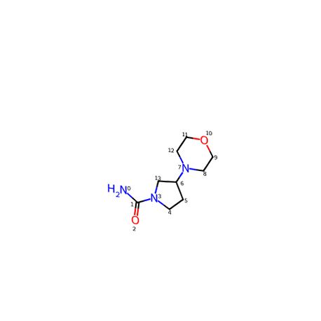 NC(=O)N1CCC(N2CCOCC2)C1